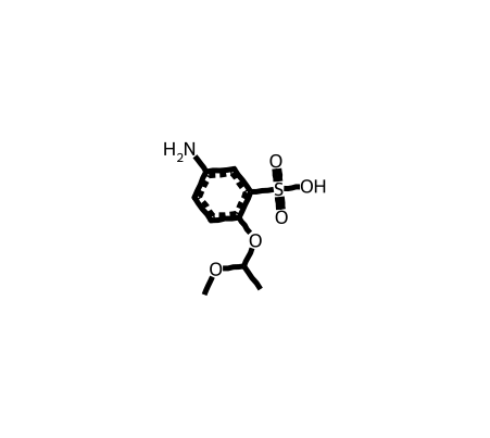 COC(C)Oc1ccc(N)cc1S(=O)(=O)O